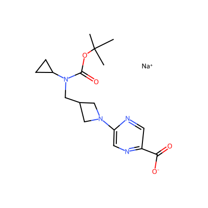 CC(C)(C)OC(=O)N(CC1CN(c2cnc(C(=O)[O-])cn2)C1)C1CC1.[Na+]